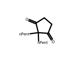 CCCCCC1(CCCCC)C(=O)CCC1=O